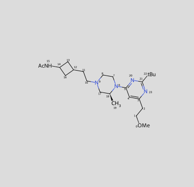 COCCc1cc(N2CCN(CCC3CC(NC(C)=O)C3)C[C@@H]2C)nc(C(C)(C)C)n1